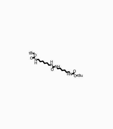 CC(C)(C)OC(=O)NCCCCCCNC(=O)NCCCCCCNC(=O)OC(C)(C)C